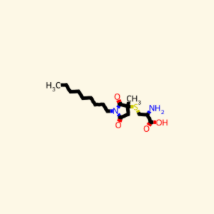 CCCCCCCCCN1C(=O)CC(C)(SCC(N)C(=O)O)C1=O